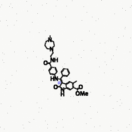 COC(=O)c1cc2c(cc1C)/C(=C(/Nc1ccc(C(=O)NCCN3CCCN(C)CC3)cc1)c1ccccc1)C(=O)N2